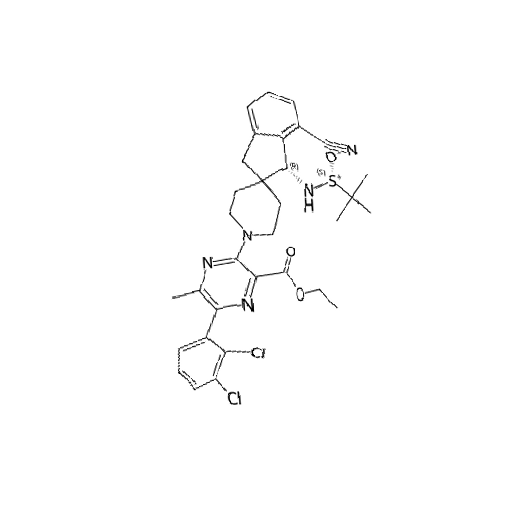 CCOC(=O)c1nc(-c2cccc(Cl)c2Cl)c(C)nc1N1CCC2(CC1)Cc1cccc(C#N)c1[C@@H]2N[S@+]([O-])C(C)(C)C